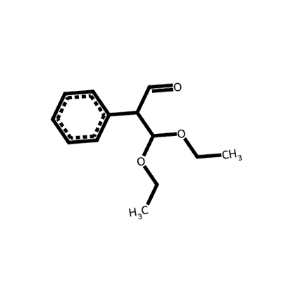 CCOC(OCC)C(C=O)c1ccccc1